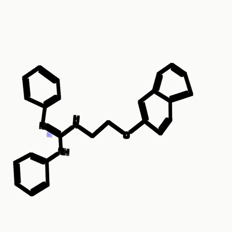 c1ccc(/N=C(\NCCOc2ccc3ccccc3c2)Nc2ccccc2)cc1